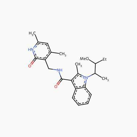 CCC(OC)C(C)n1c(C)c(C(=O)NCc2c(C)cc(C)[nH]c2=O)c2ccccc21